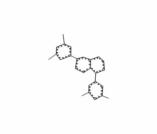 Cc1cc(C)cc(-c2ccc3c(-c4cc(C)cc(C)c4)cccc3c2)c1